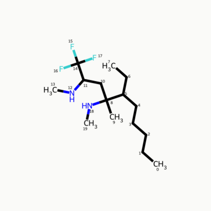 CCCCCC(CC)C(C)(CC(NC)C(F)(F)F)NC